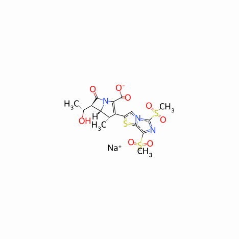 C[C@@H](O)[C@H]1C(=O)N2C(C(=O)[O-])=C(c3cn4c(S(C)(=O)=O)nc(S(C)(=O)=O)c4s3)[C@H](C)[C@H]12.[Na+]